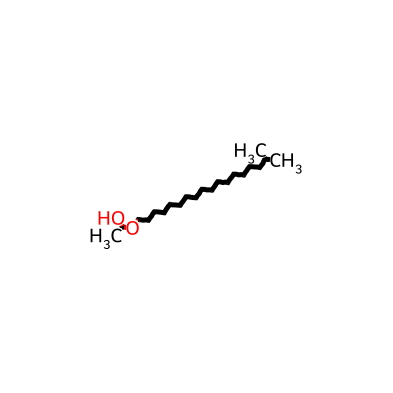 CC(C)CCCCCCCCCCCCCCCCOC(C)O